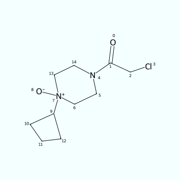 O=C(CCl)N1CC[N+]([O-])(C2CCC2)CC1